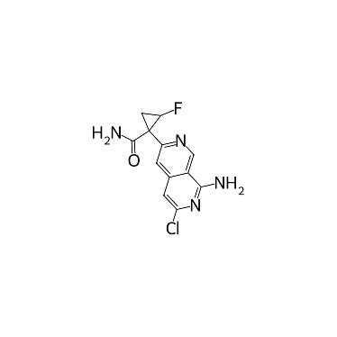 NC(=O)C1(c2cc3cc(Cl)nc(N)c3cn2)CC1F